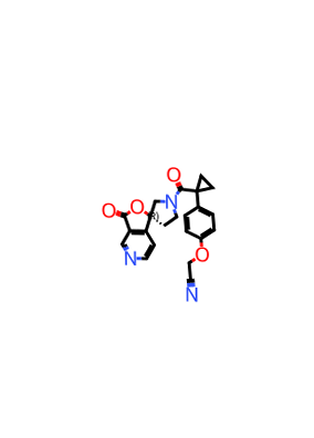 N#CCOc1ccc(C2(C(=O)N3CC[C@@]4(C3)OC(=O)c3cnccc34)CC2)cc1